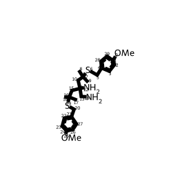 COc1ccc(CSC(C)(C)CC(N)(CN)CC(C)(C)SCc2ccc(OC)cc2)cc1